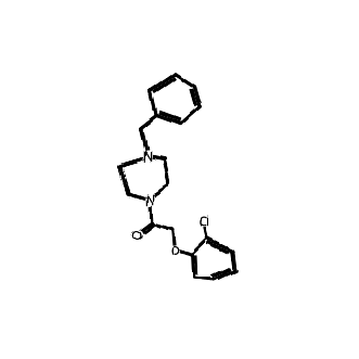 O=C(COc1ccccc1Cl)N1CCN(Cc2ccccc2)CC1